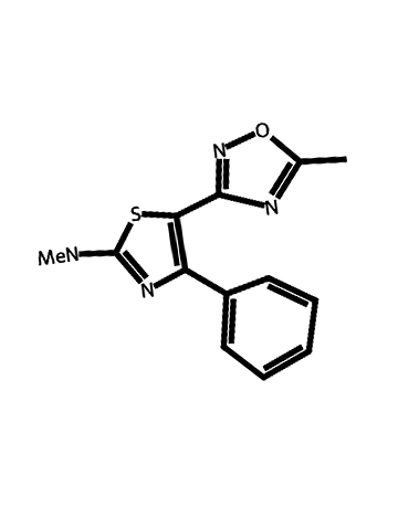 CNc1nc(-c2ccccc2)c(-c2noc(C)n2)s1